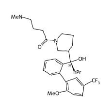 [CH2]CC[C@@](O)(c1ccccc1-c1cc(C(F)(F)F)ccc1OC)C1CCCN(C(=O)CCCNC)C1